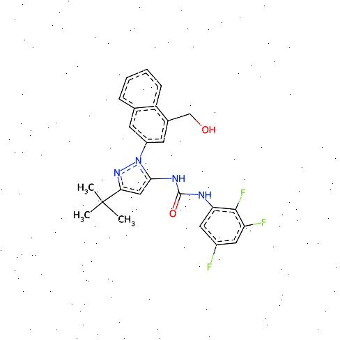 CC(C)(C)c1cc(NC(=O)Nc2cc(F)cc(F)c2F)n(-c2cc(CO)c3ccccc3c2)n1